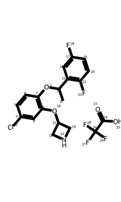 CC(Oc1ccc(Cl)cc1OC1CNC1)c1cc(F)ccc1F.O=C(O)C(F)(F)F